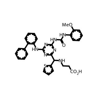 COc1ccccc1NC(=O)Nc1nc(Nc2ccccc2-c2ccccc2)nc(C(NCCC(=O)O)c2cccs2)n1